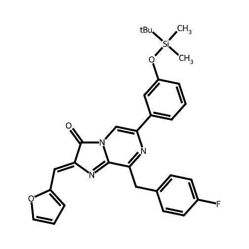 CC(C)(C)[Si](C)(C)Oc1cccc(C2=CN3C(=O)/C(=C/c4ccco4)N=C3C(Cc3ccc(F)cc3)=N2)c1